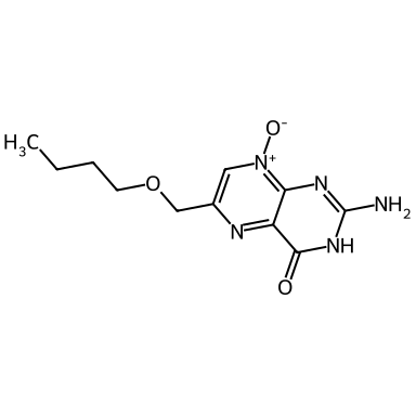 CCCCOCc1c[n+]([O-])c2nc(N)[nH]c(=O)c2n1